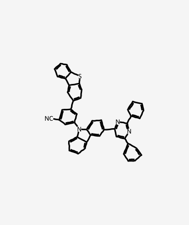 N#Cc1cc(-c2ccc3sc4ccccc4c3c2)cc(-n2c3ccccc3c3cc(-c4cc(-c5ccccc5)nc(-c5ccccc5)n4)ccc32)c1